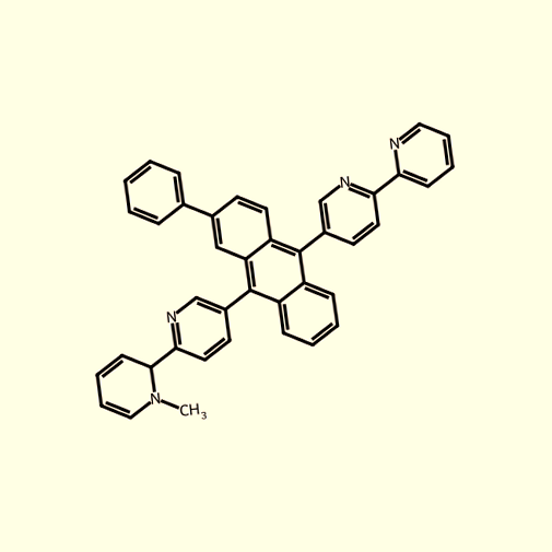 CN1C=CC=CC1c1ccc(-c2c3ccccc3c(-c3ccc(-c4ccccn4)nc3)c3ccc(-c4ccccc4)cc23)cn1